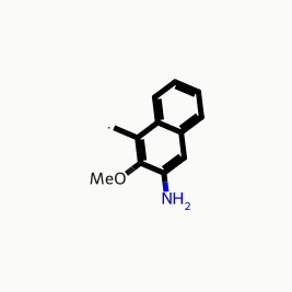 [CH2]c1c(OC)c(N)cc2ccccc12